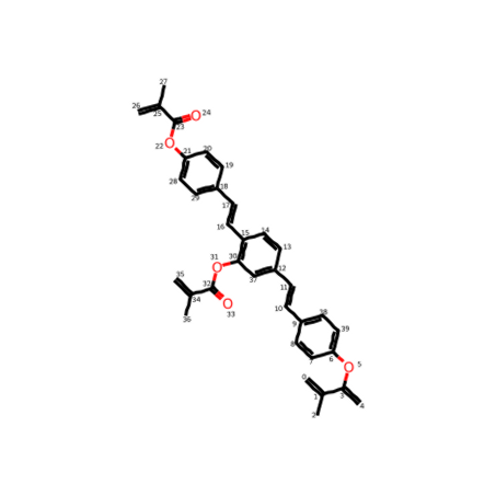 C=C(C)C(=C)Oc1ccc(/C=C/c2ccc(/C=C/c3ccc(OC(=O)C(=C)C)cc3)c(OC(=O)C(=C)C)c2)cc1